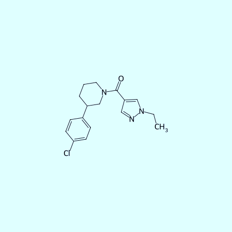 CCn1cc(C(=O)N2CCCC(c3ccc(Cl)cc3)C2)cn1